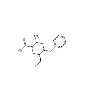 C[C@@H]1CN(Cc2ccccc2)[C@@H](CF)CN1C(=O)O